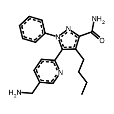 CCCCc1c(C(N)=O)nn(-c2ccccc2)c1-c1ccc(CN)cn1